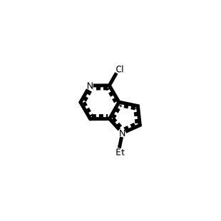 CCn1ccc2c(Cl)nccc21